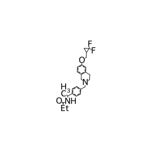 CCC(=O)NC(C)c1ccc(CN2CCc3cc(OCC4CC4(F)F)ccc3C2)cc1